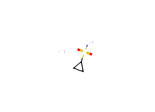 NS(=O)(=O)C1CC1.[NaH]